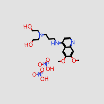 COc1cc2nccc(NCCCN(CCO)CCO)c2cc1OC.O=[N+]([O-])O.O=[N+]([O-])O